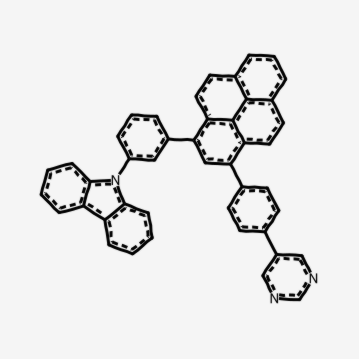 c1cc(-c2cc(-c3ccc(-c4cncnc4)cc3)c3ccc4cccc5ccc2c3c45)cc(-n2c3ccccc3c3ccccc32)c1